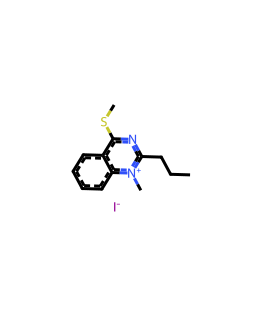 CCCc1nc(SC)c2ccccc2[n+]1C.[I-]